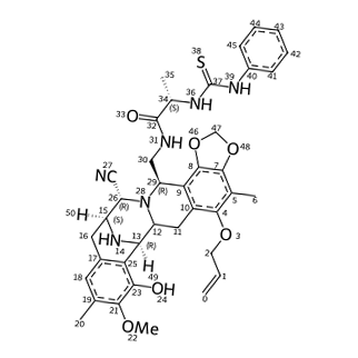 C=CCOc1c(C)c2c(c3c1CC1[C@@H]4N[C@@H](Cc5cc(C)c(OC)c(O)c54)[C@H](C#N)N1[C@H]3CNC(=O)[C@H](C)NC(=S)Nc1ccccc1)OCO2